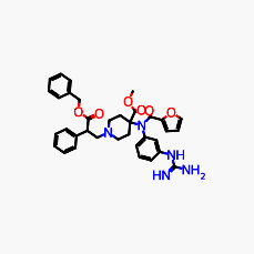 COC(=O)C1(N(C(=O)c2ccco2)c2cccc(NC(=N)N)c2)CCN(CC(C(=O)OCc2ccccc2)c2ccccc2)CC1